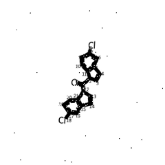 O=C(C1C=Cc2cc(Cl)ccc21)C1C=Cc2cc(Cl)ccc21